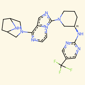 FC(F)(F)c1cnc(N[C@@H]2CCCN(c3ncc4c(N5CC6CCC(C5)N6)nccn34)C2)nc1